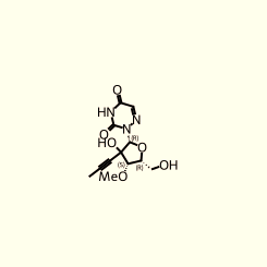 CC#CC1(O)[C@@H](OC)[C@@H](CO)O[C@H]1n1ncc(=O)[nH]c1=O